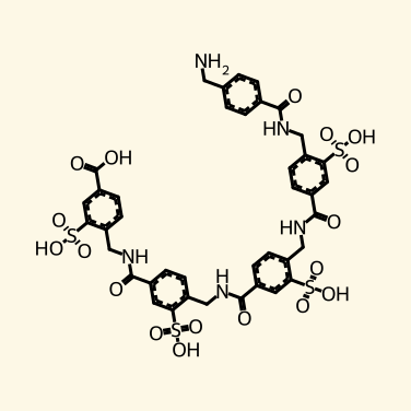 NCc1ccc(C(=O)NCc2ccc(C(=O)NCc3ccc(C(=O)NCc4ccc(C(=O)NCc5ccc(C(=O)O)cc5S(=O)(=O)O)cc4S(=O)(=O)O)cc3S(=O)(=O)O)cc2S(=O)(=O)O)cc1